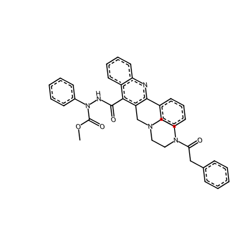 COC(=O)N(NC(=O)c1c(CN2CCN(C(=O)Cc3ccccc3)CC2)c(-c2ccccc2)nc2ccccc12)c1ccccc1